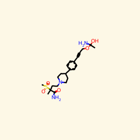 CC(N)(O)OCC#Cc1ccc(C2CCN(CCC(C)(C(N)=O)S(C)(=O)=O)CC2)cc1